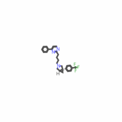 FC(F)(F)c1ccc([C@]23C[C@H]2CN(CCCCc2nccc(-c4ccccc4)n2)C3)cc1